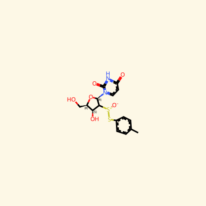 Cc1ccc(S[S+]([O-])C2[C@@H](O)[C@@H](CO)O[C@H]2n2ccc(=O)[nH]c2=O)cc1